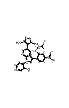 Cc1noc(C)c1-c1cnc2c(c1)c(-c1ccc(C(=O)O)cc1OCC(F)F)cn2-c1ccncc1Cl